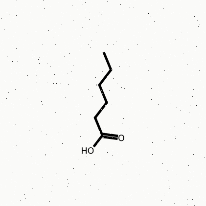 CC[CH]CCC(=O)O